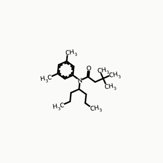 CCCC(CCC)N(C(=O)CC(C)(C)C)c1cc(C)cc(C)c1